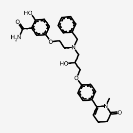 CN1C(=O)CCC=C1c1ccc(OCC(O)CN(CCOc2ccc(O)c(C(N)=O)c2)Cc2ccccc2)cc1